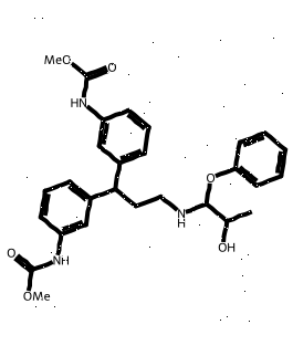 COC(=O)Nc1cccc(C(CCNC(Oc2ccccc2)C(C)O)c2cccc(NC(=O)OC)c2)c1